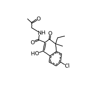 CCC1(C)C(=O)C(C(=O)NCC(C)=O)=C(O)c2ccc(Cl)cc21